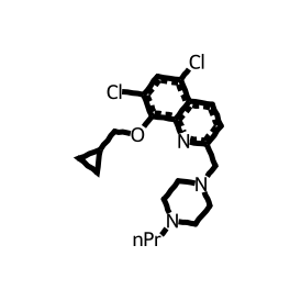 CCCN1CCN(Cc2ccc3c(Cl)cc(Cl)c(OCC4CC4)c3n2)CC1